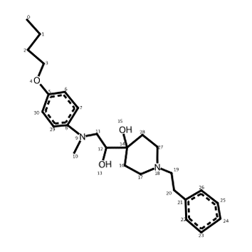 CCCCOc1ccc(N(C)CC(O)C2(O)CCN(CCc3ccccc3)CC2)cc1